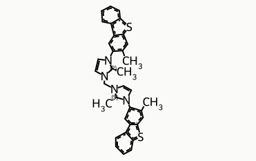 Cc1cc2sc3ccccc3c2cc1N1C=CN(CN2C=CN(c3cc4c(cc3C)sc3ccccc34)[C@H]2C)[C@H]1C